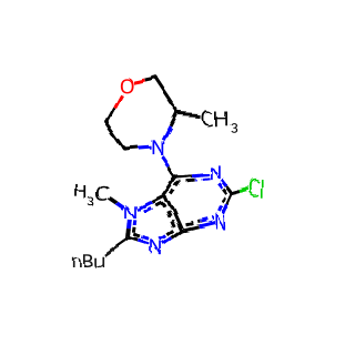 CCCCc1nc2nc(Cl)nc(N3CCOCC3C)c2n1C